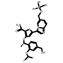 CC(C)[Si](OCc1ccc2ncc(-c3cc(O[C@H](C)c4ccc(CO)cc4OC(F)F)c(C(N)=O)s3)n2c1)(C(C)C)C(C)C